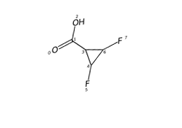 O=C(O)C1C(F)C1F